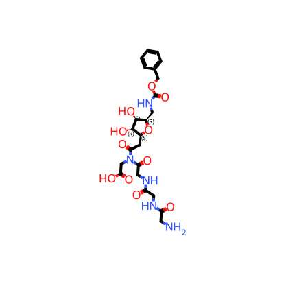 NCC(=O)NCC(=O)NCC(=O)N(CC(=O)O)C(=O)C[C@@H]1O[C@H](CNC(=O)OCc2ccccc2)[C@@H](O)[C@H]1O